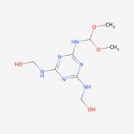 COC(Nc1nc(NCO)nc(NCO)n1)OC